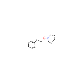 [CH](Cc1ccccc1)ON1CCCCC1